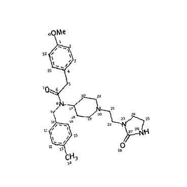 COc1ccc(CC(=O)N(Cc2ccc(C)cc2)C2CCN(CCN3CCNC3=O)CC2)cc1